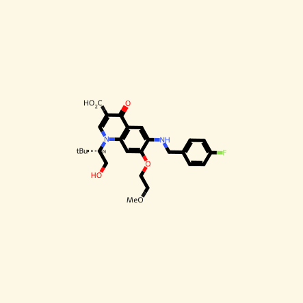 COCCOc1cc2c(cc1NCc1ccc(F)cc1)c(=O)c(C(=O)O)cn2[C@H](CO)C(C)(C)C